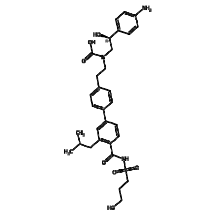 CC(C)Cc1cc(-c2ccc(CCN(C[C@@H](O)c3ccc(N)cc3)C(=O)O)cc2)ccc1C(=O)NS(=O)(=O)CCCO